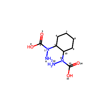 NN(C(=O)O)C1CCCCC1N(N)C(=O)O